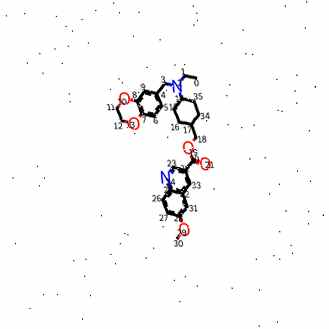 CCN(Cc1ccc2c(c1)OCCO2)C1CCC(COC(=O)c2cnc3ccc(OC)cc3c2)CC1